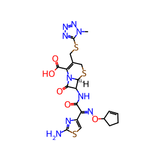 Cn1nnnc1SCC1=C(C(=O)O)N2C(=O)C(NC(=O)C(=NOC3C=CCC3)c3csc(N)n3)[C@@H]2SC1